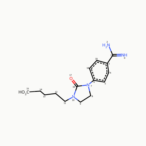 N=C(N)c1ccc(N2CCN(CCCCC(=O)O)C2=O)cc1